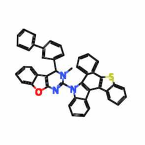 CN1C(n2c3ccccc3c3c4c5ccccc5sc4c4ccccc4c32)=Nc2oc3ccccc3c2C1c1cccc(-c2ccccc2)c1